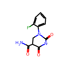 NC(=O)C1CN(c2ccccc2F)C(=O)[N]C1=O